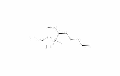 CCCCCC(CC)C(C)(O)CCO